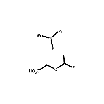 CCN(C(C)C)C(C)C.O=C(O)COC(F)F